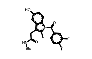 CCC(C)NC(=O)Cc1c(C)n(C(=O)c2ccc(F)c(F)c2)c2ccc(O)cc12